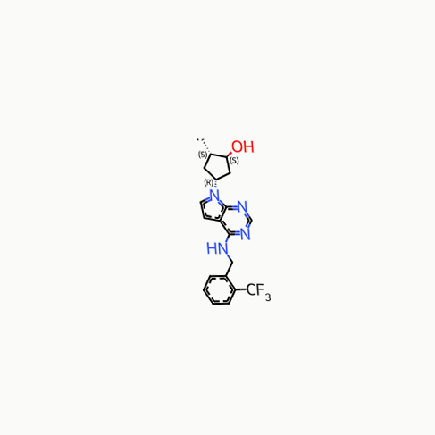 [CH2][C@H]1C[C@@H](n2ccc3c(NCc4ccccc4C(F)(F)F)ncnc32)C[C@@H]1O